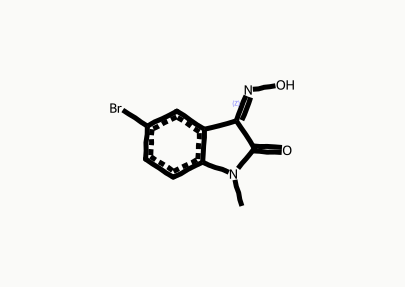 CN1C(=O)/C(=N\O)c2cc(Br)ccc21